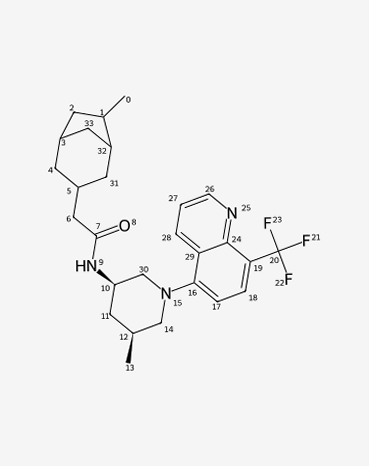 CC1CC2CC(CC(=O)N[C@@H]3C[C@H](C)CN(c4ccc(C(F)(F)F)c5ncccc45)C3)CC1C2